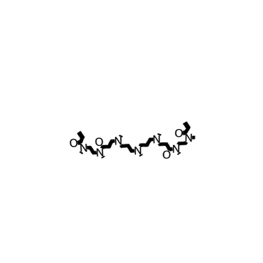 C=CC(=O)N(C)CCN(C)C(=O)CCN(C)CCCN(C)CCCN(C)CCC(=O)N(C)CCN(C)C(=O)C=C